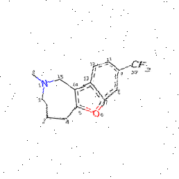 CN1CCCc2oc3cc(C(F)(F)F)ccc3c2C1